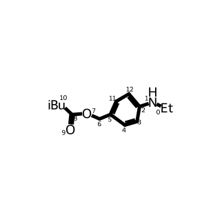 CCNc1ccc(COC(=O)C(C)CC)cc1